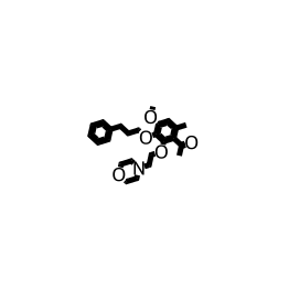 COc1cc(C)c(C(C)=O)c(OCCN2CCOCC2)c1OCCCc1ccccc1